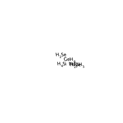 P.[AsH3].[GeH4].[SeH2].[SiH4].[TeH2]